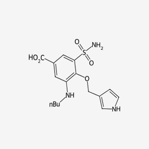 CCCCNc1cc(C(=O)O)cc(S(N)(=O)=O)c1OCc1cc[nH]c1